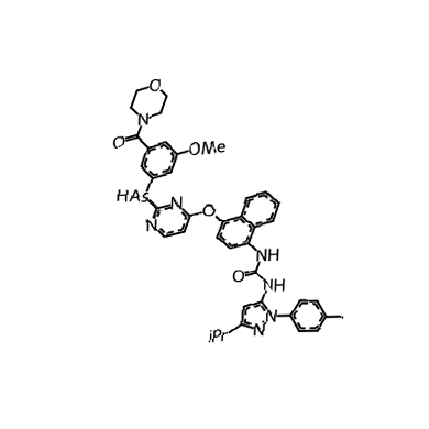 COc1cc([AsH]c2nccc(Oc3ccc(NC(=O)Nc4cc(C(C)C)nn4-c4ccc(C)cc4)c4ccccc34)n2)cc(C(=O)N2CCOCC2)c1